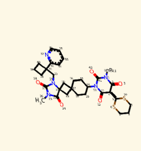 CCCCN1C(=O)C(=C2SCCCS2)C(=O)N(C2CCC3(CC2)CC2(C3)C(=O)N(C)C(=O)N2CC2(c3ccccn3)CCC2)C1=O